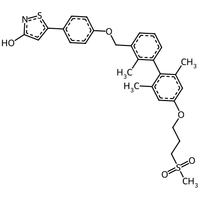 Cc1cc(OCCCS(C)(=O)=O)cc(C)c1-c1cccc(COc2ccc(-c3cc(O)ns3)cc2)c1C